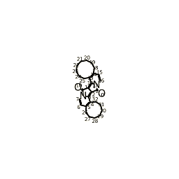 O=C1C2=C3C4=C(C=CN3C(=O)C2=C2C3=C(C=CN12)CCCCCCCC3)CCCCCCC4